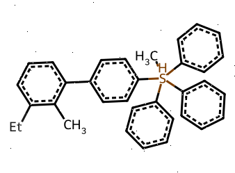 CCc1cccc(-c2ccc([SH](C)(c3ccccc3)(c3ccccc3)c3ccccc3)cc2)c1C